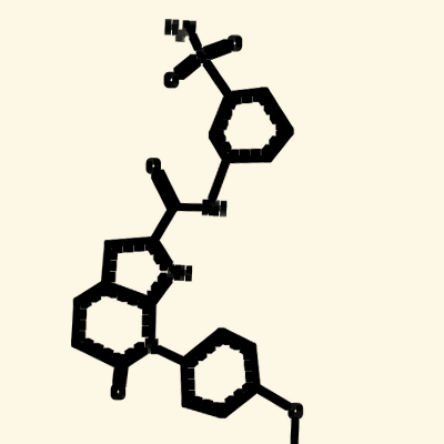 CC(C)Oc1ccc(-n2c(=O)ccc3cc(C(=O)Nc4cccc(S(N)(=O)=O)c4)[nH]c32)cc1